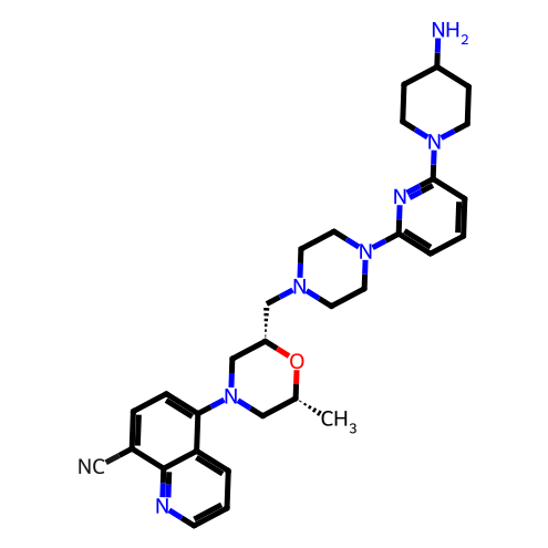 C[C@@H]1CN(c2ccc(C#N)c3ncccc23)C[C@H](CN2CCN(c3cccc(N4CCC(N)CC4)n3)CC2)O1